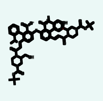 CC(C)c1ccccc1-c1c(/C=C/C(=O)N2CCN(C(=O)OC(C)(C)C)CC2CO)ccc(Sc2ccc(/C=C/C(=O)N3CCN(C(=O)OC(C)(C)C)CC3CO)c(-c3ccccc3C(C)C)c2[N+](=O)[O-])c1[N+](=O)[O-]